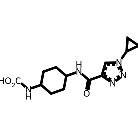 O=C(O)NC1CCC(NC(=O)c2cn(C3CC3)nn2)CC1